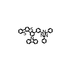 c1ccc(-c2nc(-c3ccccc3)nc(-c3cccc(-c4cc(-n5c6ccccc6c6ccccc65)cc5c4sc4ccc6c7ccccc7sc6c45)c3)n2)cc1